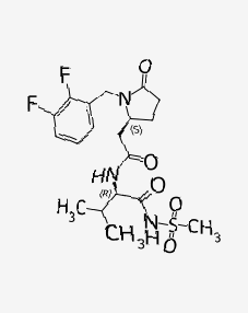 CC(C)[C@@H](NC(=O)C[C@@H]1CCC(=O)N1Cc1cccc(F)c1F)C(=O)NS(C)(=O)=O